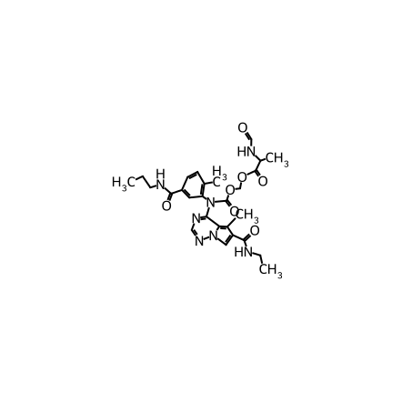 CCCNC(=O)c1ccc(C)c(N(C(=O)OCOC(=O)C(C)NC=O)c2ncnn3cc(C(=O)NCC)c(C)c23)c1